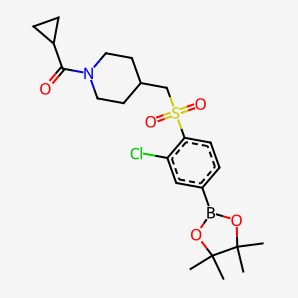 CC1(C)OB(c2ccc(S(=O)(=O)CC3CCN(C(=O)C4CC4)CC3)c(Cl)c2)OC1(C)C